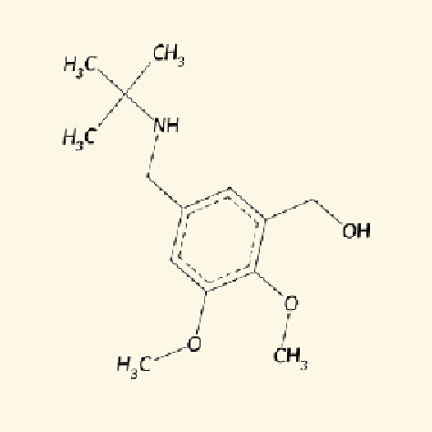 COc1cc(CNC(C)(C)C)cc(CO)c1OC